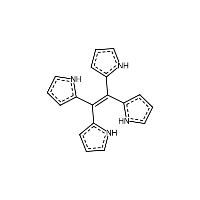 c1c[nH]c(C(=C(c2ccc[nH]2)c2ccc[nH]2)c2ccc[nH]2)c1